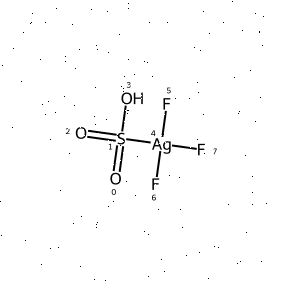 O=[S](=O)(O)[Ag]([F])([F])[F]